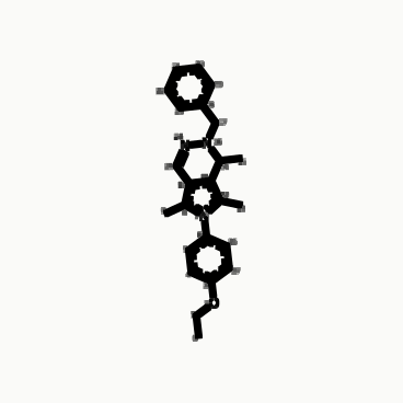 CCOc1ccc(-n2c(C)c3c(c2C)C(C)N(Cc2ccccc2)N=C3)cc1